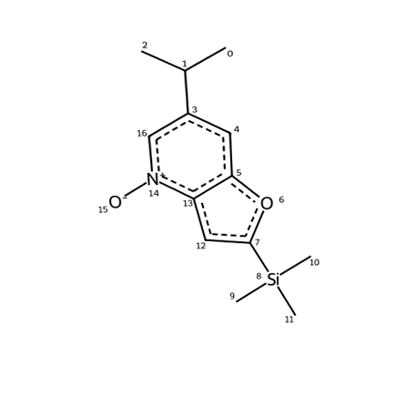 CC(C)c1cc2oc([Si](C)(C)C)cc2[n+]([O-])c1